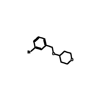 Brc1cccc(COC2CCOCC2)c1